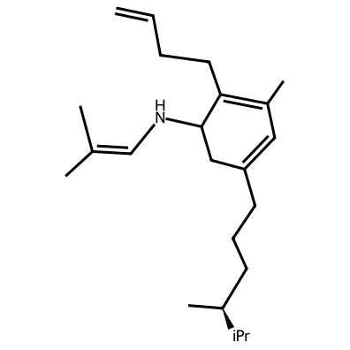 C=CCCC1=C(C)C=C(CCC[C@H](C)C(C)C)CC1NC=C(C)C